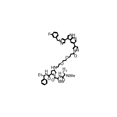 CC[C@@H](NC(=O)C1C[C@H](NCCOCCOCCC(=O)n2cc(-c3cnc4[nH]cc(-c5cnn(Cc6cccc(F)c6)c5)c4c3)cn2)CN1C(=O)C(NC(=O)[C@H](C)NC)C(C)(C)C)c1ccccc1